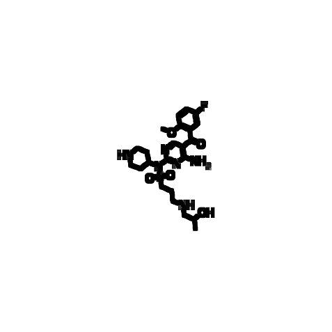 COc1ccc(F)cc1C(=O)c1cnc(N(C2CCNCC2)S(=O)(=O)CCCNCC(C)O)nc1N